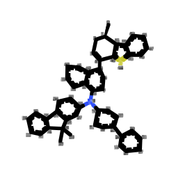 C[C@@H]1CC=C(c2ccc(N(c3ccc(-c4ccccc4)cc3)c3ccc4c(c3)C(C)(C)c3ccccc3-4)c3ccccc23)c2sc3ccccc3c21